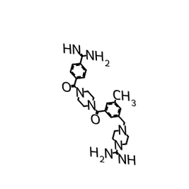 Cc1cc(CN2CCN(C(=N)N)CC2)cc(C(=O)N2CCN(C(=O)c3ccc(C(=N)N)cc3)CC2)c1